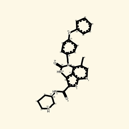 Cc1cnc2sc(C(=O)N[C@@H]3CCCNC3)c3c2c1N(c1ccc(Oc2ccccc2)cc1)C(=O)N3